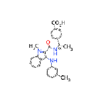 Cc1cccc(Nc2c(C(=O)N[C@@H](C)c3ccc(C(=O)O)cc3)n(C)c3ccccc23)c1